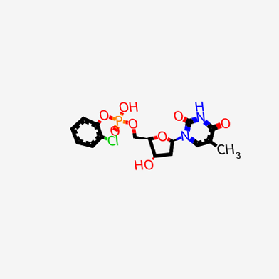 Cc1cn([C@H]2C[C@H](O)[C@@H](COP(=O)(O)Oc3ccccc3Cl)O2)c(=O)[nH]c1=O